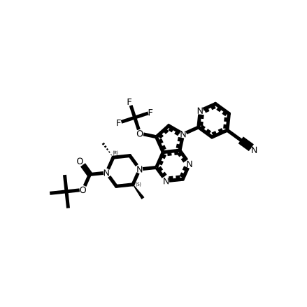 C[C@@H]1CN(c2ncnc3c2c(OC(F)(F)F)cn3-c2cc(C#N)ccn2)[C@@H](C)CN1C(=O)OC(C)(C)C